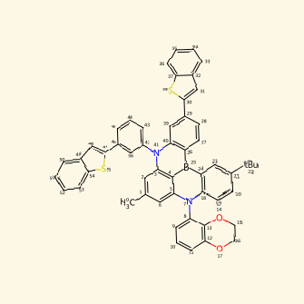 Cc1cc2c3c(c1)N(c1cccc4c1OCCO4)c1ccc(C(C)(C)C)cc1B3c1ccc(-c3cc4ccccc4s3)cc1N2c1cccc(-c2cc3ccccc3s2)c1